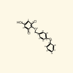 Oc1cc(Cl)c(OCc2ccc(Oc3ccccc3)cc2)c(Cl)c1